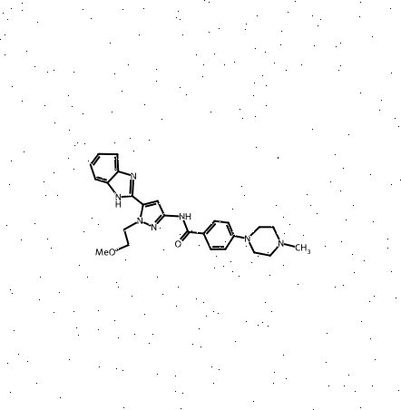 COCCn1nc(NC(=O)c2ccc(N3CCN(C)CC3)cc2)cc1-c1nc2ccccc2[nH]1